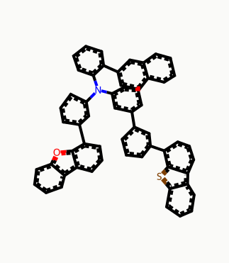 c1cc(-c2cccc(N(c3cccc(-c4cccc5c4oc4ccccc45)c3)c3ccccc3-c3ccc4ccccc4c3)c2)cc(-c2cccc3c2sc2ccccc23)c1